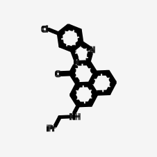 CC(C)CNc1cc2cccc3c2c(c1)c(=O)n1c2cc(Cl)ccc2nc31